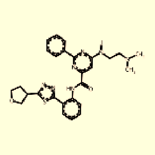 CN(C)CCN(I)c1cc(C(=O)Nc2ccccc2-c2nnc(C3CCOC3)s2)nc(-c2ccccc2)n1